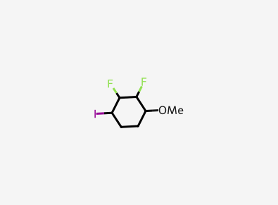 COC1CCC(I)C(F)C1F